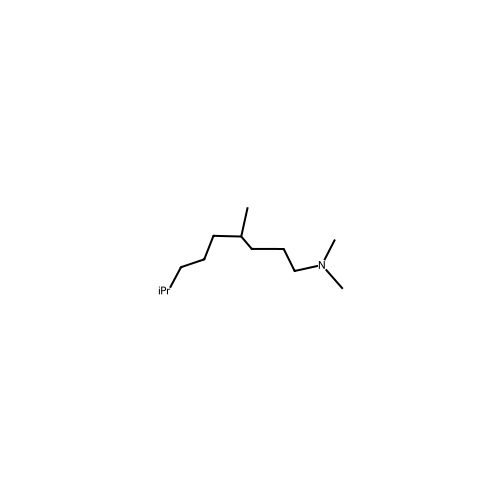 CC(C)CCCC(C)CCCN(C)C